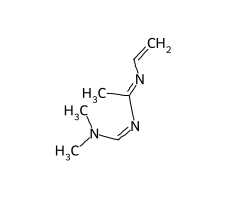 C=C/N=C(C)/N=C\N(C)C